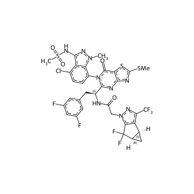 CSc1nc2nc([C@H](Cc3cc(F)cc(F)c3)NC(=O)Cn3nc(C(F)(F)F)c4c3C(F)(F)[C@@H]3C[C@H]43)n(-c3ccc(Cl)c4c(NS(C)(=O)=O)nn(C)c34)c(=O)c2s1